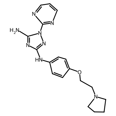 Nc1nc(Nc2ccc(OCCN3CCCC3)cc2)nn1-c1ncccn1